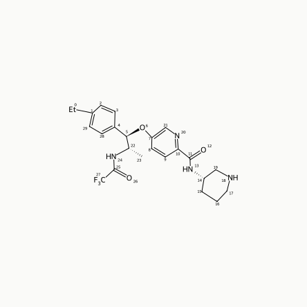 CCc1ccc([C@@H](Oc2ccc(C(=O)N[C@H]3CCCNC3)nc2)[C@H](C)NC(=O)C(F)(F)F)cc1